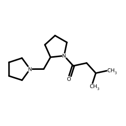 CC(C)CC(=O)N1CCCC1CN1CCCC1